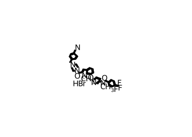 Br.CN(C(=O)c1ccc(C(F)(F)F)cc1)c1ccc(Oc2cccc3cc(C(=O)N4CCN(Cc5ccc(C#N)cc5)CC4)n(C)c23)nc1